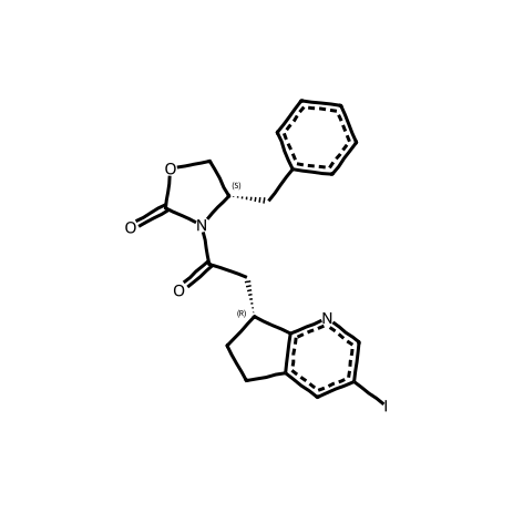 O=C(C[C@H]1CCc2cc(I)cnc21)N1C(=O)OC[C@@H]1Cc1ccccc1